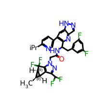 CC(C)c1ccc(-c2cc3[nH]ncc3nc2C(Cc2cc(F)cc(F)c2)NC(=O)Cn2nc(C(F)F)c3c2C(F)(F)[C@@H]2[C@H](C)[C@H]32)cn1